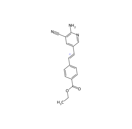 CCOC(=O)c1ccc(/C=C/c2cnc(N)c(C#N)c2)cc1